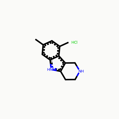 Cc1cc(C)c2c3c([nH]c2c1)CCNC3.Cl